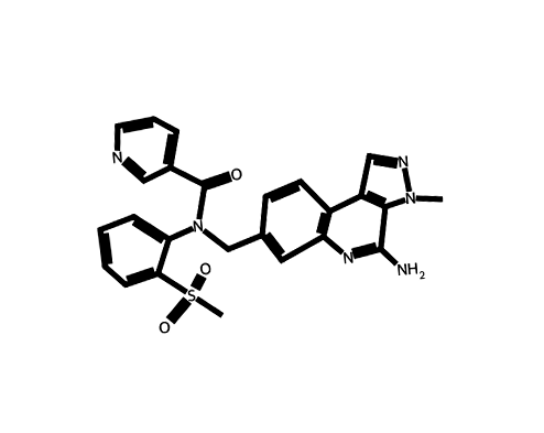 Cn1ncc2c3ccc(CN(C(=O)c4cccnc4)c4ccccc4S(C)(=O)=O)cc3nc(N)c21